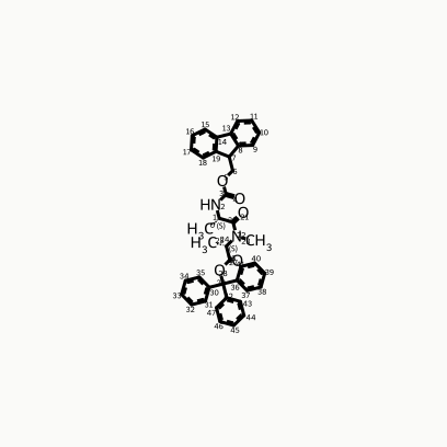 C[C@H](NC(=O)OCC1c2ccccc2-c2ccccc21)C(=O)N(C)[C@@H](C)C(=O)OC(c1ccccc1)(c1ccccc1)c1ccccc1